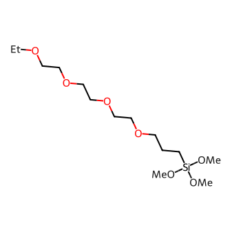 CCOCCOCCOCCOCCC[Si](OC)(OC)OC